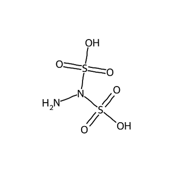 NN(S(=O)(=O)O)S(=O)(=O)O